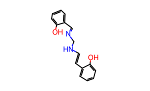 Oc1ccccc1/C=C/NC/N=C/c1ccccc1O